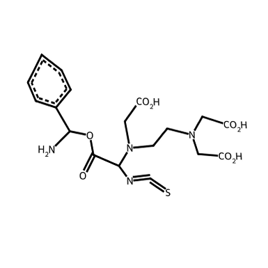 NC(OC(=O)C(N=C=S)N(CCN(CC(=O)O)CC(=O)O)CC(=O)O)c1ccccc1